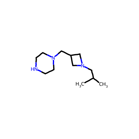 CC(C)CN1CC(CN2CCNCC2)C1